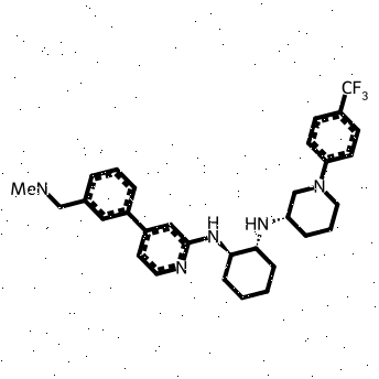 CNCc1cccc(-c2ccnc(N[C@@H]3CCCC[C@H]3N[C@H]3CCCN(c4ccc(C(F)(F)F)cc4)C3)c2)c1